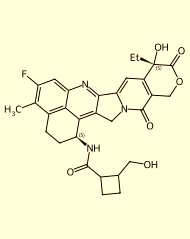 CC[C@@]1(O)C(=O)OCc2c1cc1n(c2=O)Cc2c-1nc1cc(F)c(C)c3c1c2[C@@H](NC(=O)C1CCC1CO)CC3